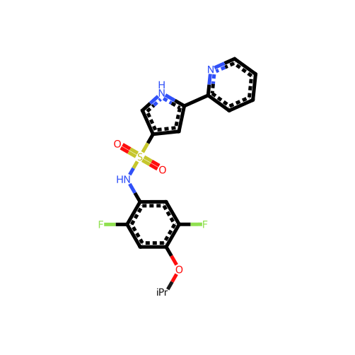 CC(C)Oc1cc(F)c(NS(=O)(=O)c2c[nH]c(-c3ccccn3)c2)cc1F